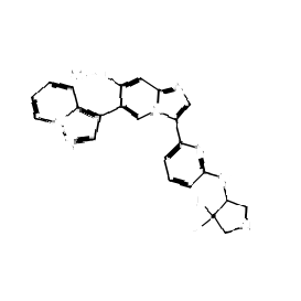 COc1cc2ncc(-c3cccc(NC4CNCC4(F)F)n3)n2cc1-c1cnn2ccccc12